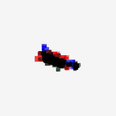 CC(C)(C)NCC(=O)Nc1cc(F)c2c(c1O)C(=O)C1=C(O)[C@@H]3C(=O)C(C(N)=O)=C(O)C[C@@H]3CC1C2